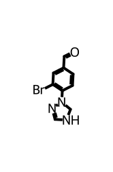 O=Cc1ccc(N2CNC=N2)c(Br)c1